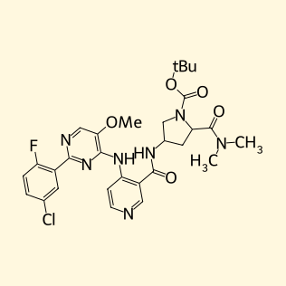 COc1cnc(-c2cc(Cl)ccc2F)nc1Nc1ccncc1C(=O)NC1CC(C(=O)N(C)C)N(C(=O)OC(C)(C)C)C1